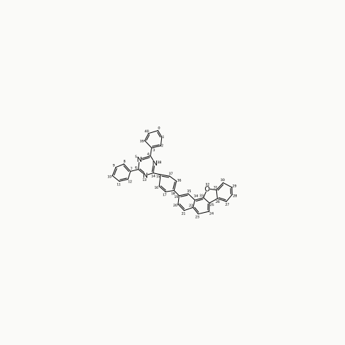 c1ccc(-c2nc(-c3ccccc3)nc(-c3ccc(-c4ccc5ccc6c7ccccc7oc6c5c4)cc3)n2)cc1